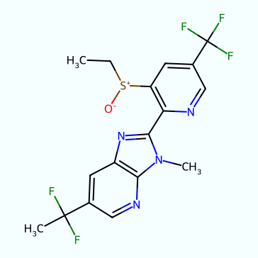 CC[S+]([O-])c1cc(C(F)(F)F)cnc1-c1nc2cc(C(C)(F)F)cnc2n1C